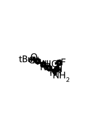 CC(C)(C)OC(=O)N1CCC(c2cnc(N3CCC(n4nc(N)c5nnc(-c6cc(F)ccc6O)cc54)CC3)nc2)CC1